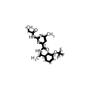 CCC(=O)Nc1nc(C)cc(C(=O)NC(C)c2cccc(OC(F)(F)F)c2)n1